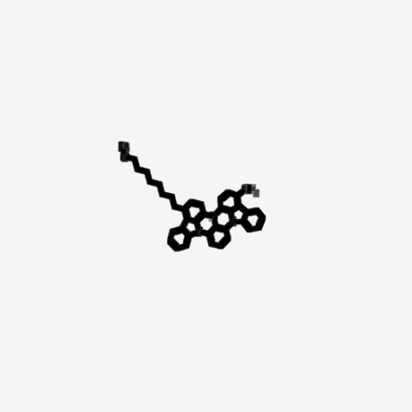 CCOCCCCCCCCc1ccc2c3c1-c1ccccc1B3c1cccc3c1N2c1ccc(C)c2c1B3c1ccccc1-2